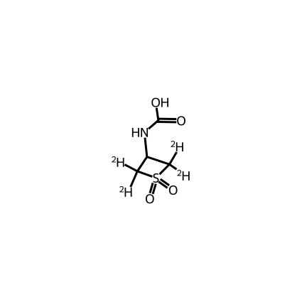 [2H]C1([2H])C(NC(=O)O)C([2H])([2H])S1(=O)=O